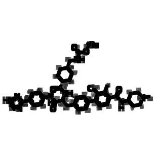 Cc1c(C(=O)NC2CCN(C)CC2)ccc(-c2ccc(C[C@H](NC(=O)[C@H]3CC[C@H](CNC(=O)OC(C)(C)C)CC3)C(=O)Nc3ccc(-c4nn[nH]n4)cc3)cc2)c1Cl